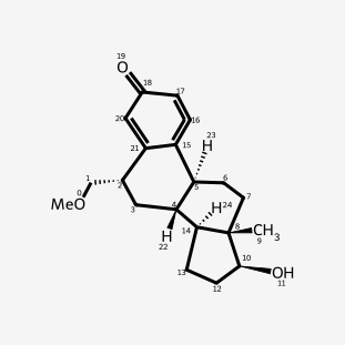 COC[C@H]1C[C@@H]2[C@H](CC[C@]3(C)[C@@H](O)CC[C@@H]23)C2=C=CC(=O)C=C21